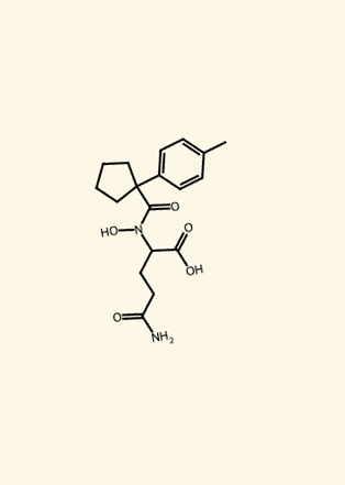 Cc1ccc(C2(C(=O)N(O)C(CCC(N)=O)C(=O)O)CCCC2)cc1